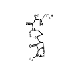 Cc1ncc2n1C(=O)N(N1CCN(C(=O)[C@H](NC(=O)O)C(C)C)CC1)C2